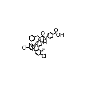 O=C(O)c1ccc(NC(=O)C(Cc2ccccc2)n2cnc(-c3c(-n4cc(Cl)nn4)ccc(Cl)c3F)cc2=O)cc1